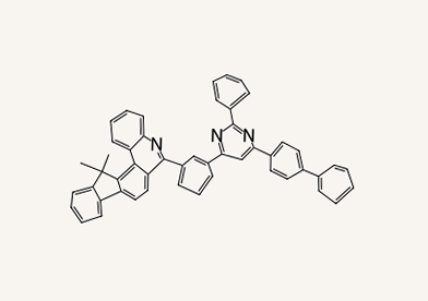 CC1(C)c2ccccc2-c2ccc3c(-c4cccc(-c5cc(-c6ccc(-c7ccccc7)cc6)nc(-c6ccccc6)n5)c4)nc4ccccc4c3c21